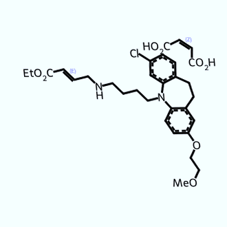 CCOC(=O)/C=C/CNCCCCN1c2ccc(OCCOC)cc2CCc2ccc(Cl)cc21.O=C(O)/C=C\C(=O)O